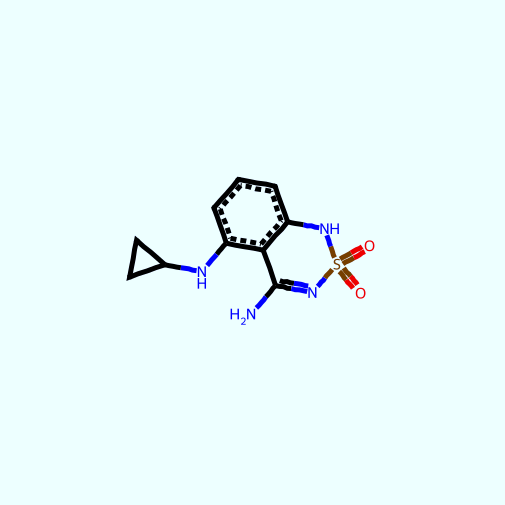 NC1=NS(=O)(=O)Nc2cccc(NC3CC3)c21